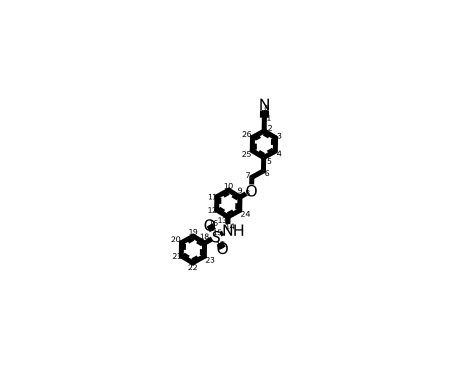 N#Cc1ccc(CCOc2cccc(NS(=O)(=O)c3ccccc3)c2)cc1